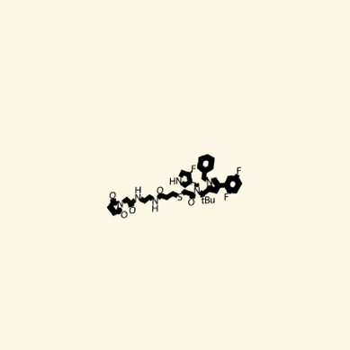 CC(C)(C)C(c1cc(-c2cc(F)ccc2F)cn1Cc1ccccc1)N(C[C@@H]1CNC[C@@H]1F)C(=O)CSCCC(=O)NCCNC(=O)CN1C(=O)C=CC1=O